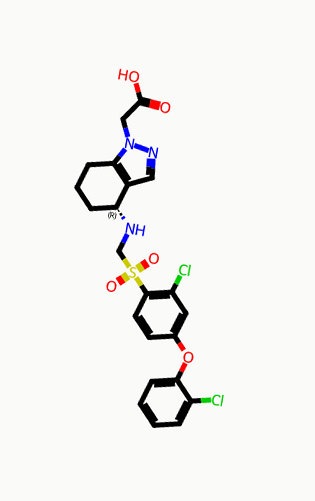 O=C(O)Cn1ncc2c1CCC[C@H]2NCS(=O)(=O)c1ccc(Oc2ccccc2Cl)cc1Cl